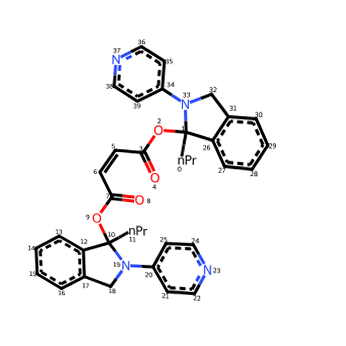 CCCC1(OC(=O)/C=C\C(=O)OC2(CCC)c3ccccc3CN2c2ccncc2)c2ccccc2CN1c1ccncc1